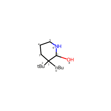 CCCCC1(C(C)(C)C)CCCNC1O